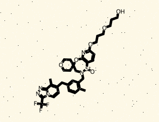 Cc1ccc(Cc2ccn3c(C(F)(F)F)nnc3c2C)cc1CN1CC2(CCOCC2)Oc2nc(OCCCOCCCO)ccc2[S+]1[O-]